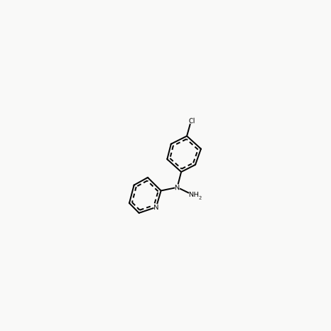 NN(c1ccc(Cl)cc1)c1ccccn1